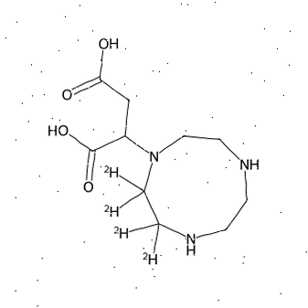 [2H]C1([2H])NCCNCCN(C(CC(=O)O)C(=O)O)C1([2H])[2H]